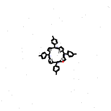 Cc1ccc(/C2=C3\C=CC(/C(c4ccc(C)cc4)=c4/cc/c(n4C)=C(\c4ccc(C)cc4)C4C=C/C(=C(\c5ccc(C)cc5)c5ccc2n5C)N4C)N3C)cc1